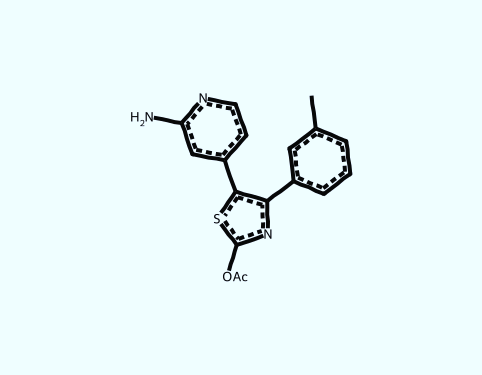 CC(=O)Oc1nc(-c2cccc(C)c2)c(-c2ccnc(N)c2)s1